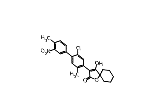 Cc1cc(-c2ccc(C)c([N+](=O)[O-])c2)c(Cl)cc1C1=C(O)C2(CCCCC2)OC1=O